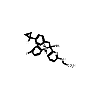 CCC1(c2ccc(CC(N)(c3cccc(NCC(=O)O)n3)S(=O)(=O)c3ccc(F)cc3)cc2)CC1